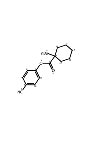 CCCCC1(C(=O)Oc2ccc(C#N)cc2)CCCCC1